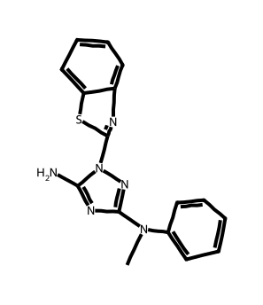 CN(c1ccccc1)c1nc(N)n(-c2nc3ccccc3s2)n1